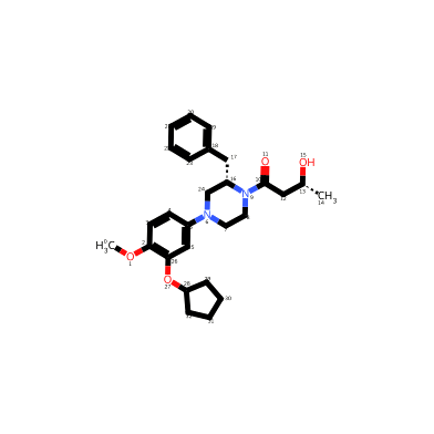 COc1ccc(N2CCN(C(=O)C[C@@H](C)O)[C@@H](Cc3ccccc3)C2)cc1OC1CCCC1